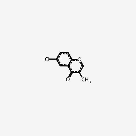 Cc1coc2ccc(Cl)cc2c1=O